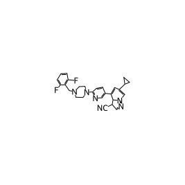 N#CC1C=NN2C=C(C3CC3)C=C(c3ccc(N4CCN(Cc5c(F)cccc5F)CC4)nc3)C12